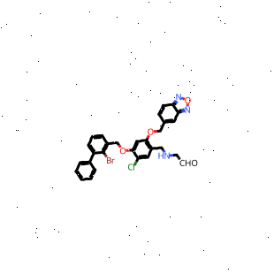 O=CCNCc1cc(Cl)c(OCc2cccc(-c3ccccc3)c2Br)cc1OCc1ccc2nonc2c1